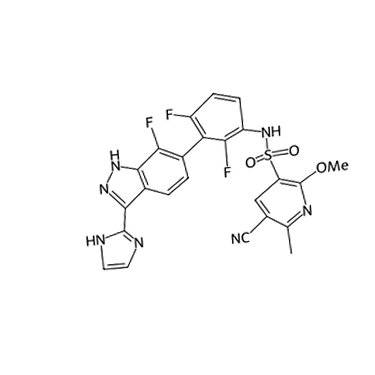 COc1nc(C)c(C#N)cc1S(=O)(=O)Nc1ccc(F)c(-c2ccc3c(-c4ncc[nH]4)n[nH]c3c2F)c1F